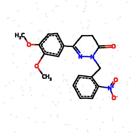 COc1ccc(C2=NN(Cc3ccccc3[N+](=O)[O-])C(=O)CC2)cc1OC